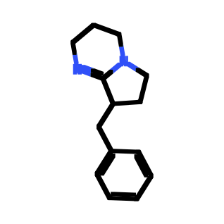 c1ccc(CC2CCN3CCCN=C23)cc1